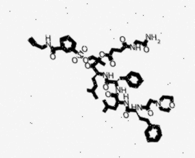 C#CCNC(=O)c1cccc(S(=O)(=O)OCC(C)(OC(=O)CCC(=O)NCC(N)=O)C(=O)[C@H](CCC(C)C)NC(=O)[C@H](Cc2ccccc2)NC(=O)C(CC(C)C)NC(=O)[C@H](CCc2ccccc2)NC(=O)CN2CCOCC2)c1